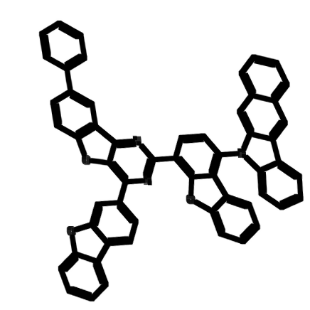 c1ccc(-c2ccc3oc4c(-c5ccc6c(c5)oc5ccccc56)nc(-c5ccc(-n6c7ccccc7c7cc8ccccc8cc76)c6c5oc5ccccc56)nc4c3c2)cc1